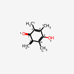 C=C1C(=O)C(C)=C(C)C(O)=C1C